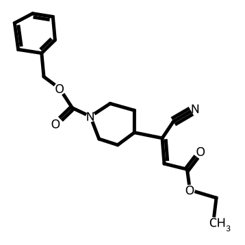 CCOC(=O)C=C(C#N)C1CCN(C(=O)OCc2ccccc2)CC1